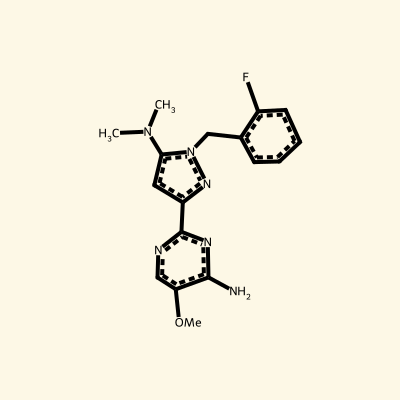 COc1cnc(-c2cc(N(C)C)n(Cc3ccccc3F)n2)nc1N